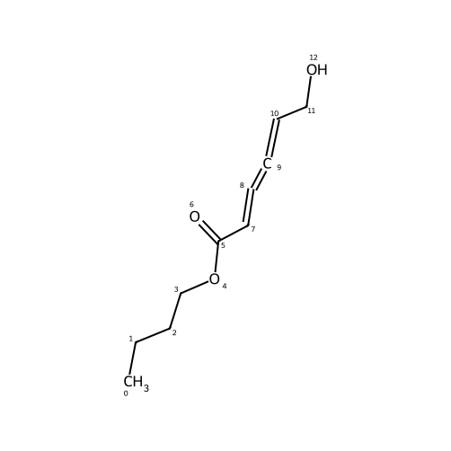 CCCCOC(=O)C=C=C=CCO